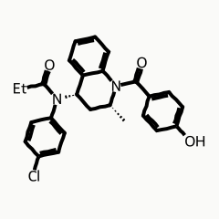 CCC(=O)N(c1ccc(Cl)cc1)[C@H]1C[C@@H](C)N(C(=O)c2ccc(O)cc2)c2ccccc21